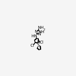 Nc1nc(Nc2cc(Cl)c([SH]3C=CC=C3)c(Cl)c2)n[nH]1